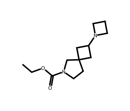 CCOC(=O)N1CCC2(CC(N3C[CH]C3)C2)C1